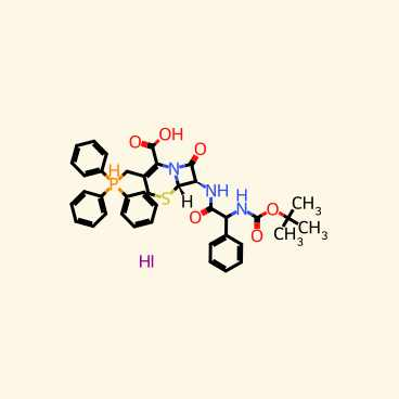 CC(C)(C)OC(=O)NC(C(=O)N[C@@H]1C(=O)N2C(C(=O)O)=C(C[PH](c3ccccc3)(c3ccccc3)c3ccccc3)CS[C@@H]12)c1ccccc1.I